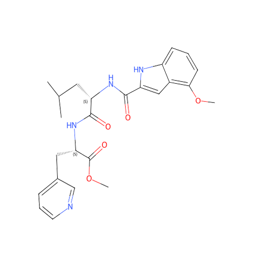 COC(=O)[C@H](Cc1cccnc1)NC(=O)[C@H](CC(C)C)NC(=O)c1cc2c(OC)cccc2[nH]1